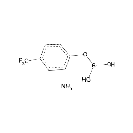 N.OB(O)Oc1ccc(C(F)(F)F)cc1